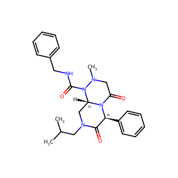 CC(C)CN1C[C@H]2N(C(=O)CN(C)N2C(=O)NCc2ccccc2)[C@@H](c2ccccc2)C1=O